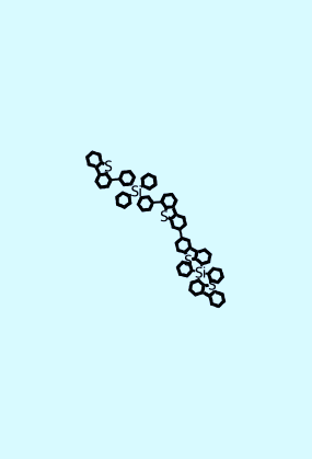 c1ccc([Si](c2ccccc2)(c2cccc(-c3cccc4c3sc3ccccc34)c2)c2cccc(-c3cccc4c3sc3cc(-c5ccc6sc7c([Si](c8ccccc8)(c8ccccc8)c8cccc9c8sc8ccccc89)cccc7c6c5)ccc34)c2)cc1